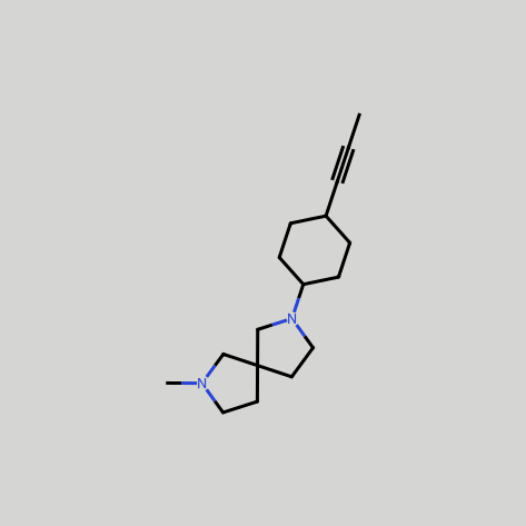 CC#CC1CCC(N2CCC3(CCN(C)C3)C2)CC1